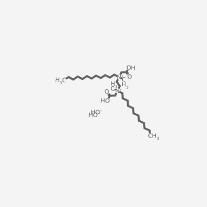 CCCCCCCCCCCC[N+](C)(CC[N+](C)(CCCCCCCCCCCC)CC(=O)O)CC(=O)O.[OH-].[OH-]